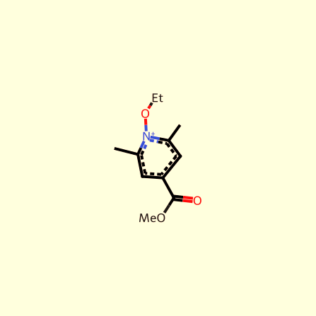 CCO[n+]1c(C)cc(C(=O)OC)cc1C